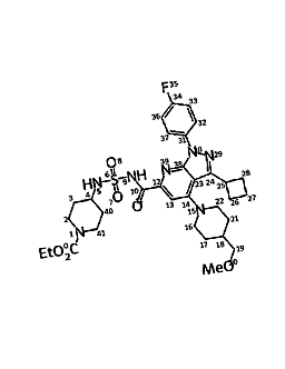 CCOC(=O)N1CCC(NS(=O)(=O)NC(=O)c2cc(N3CCC(COC)CC3)c3c(C4CCC4)nn(-c4ccc(F)cc4)c3n2)CC1